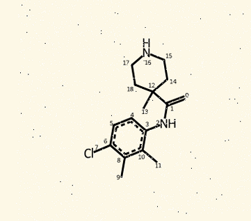 C=C(Nc1ccc(Cl)c(C)c1C)C1(C)CCNCC1